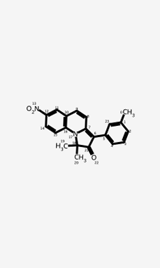 Cc1cccc(C2=C3C=Cc4cc([N+](=O)[O-])ccc4N3C(C)(C)C2=O)c1